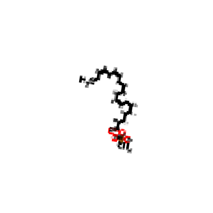 CC/C=C\C/C=C\C/C=C\C/C=C\C/C=C\CCCC(=O)OS(C)(=O)=O